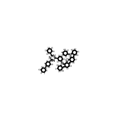 c1ccc(-c2ccc(-c3nc(-c4ccccc4)nc(-c4cccc(-n5c6ccccc6c6ccc7c8ccc9c%10ccccc%10n(-c%10ccccc%10)c9c8oc7c65)c4)n3)cc2)cc1